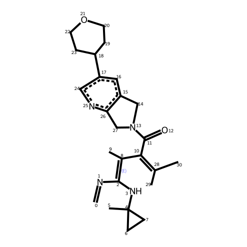 C=N/C(NC1(C)CC1)=C(\C)C(C(=O)N1Cc2cc(C3CCOCC3)cnc2C1)=C(C)C